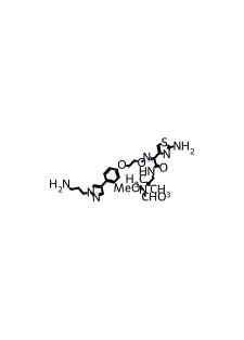 CON(C=O)C(C)(C)CNC(=O)/C(=N\OCCOc1ccc(-c2cnn(CCCN)c2)cc1)c1csc(N)n1